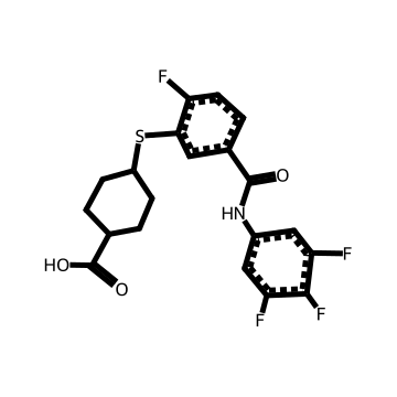 O=C(Nc1cc(F)c(F)c(F)c1)c1ccc(F)c(SC2CCC(C(=O)O)CC2)c1